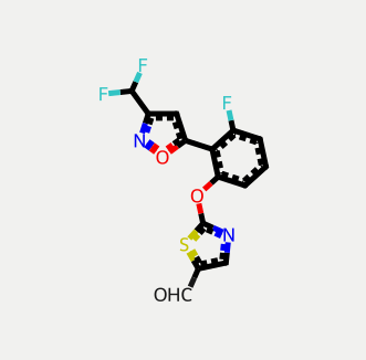 O=Cc1cnc(Oc2cccc(F)c2-c2cc(C(F)F)no2)s1